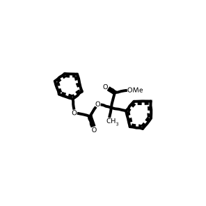 COC(=O)C(C)(OC(=O)Oc1ccccc1)c1ccccc1